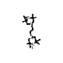 CC1(C)CN(CCN2CC(C)(C)NC(C)(C)C2)CC(C)(C)N1